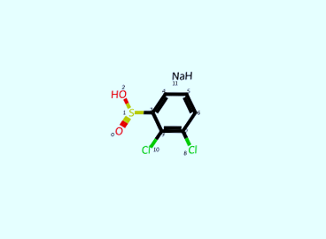 O=S(O)c1cccc(Cl)c1Cl.[NaH]